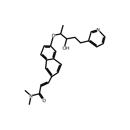 CC(Oc1ccc2cc(C=CC(=O)N(C)C)ccc2c1)C(O)CCc1cccnc1